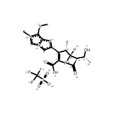 CSc1c2sc(C3=C(C(=O)O)N4C(=O)[C@H]([C@@H](C)O)[C@H]4[C@H]3C)c[n+]2cn1C.O=S(=O)([O-])C(F)(F)F